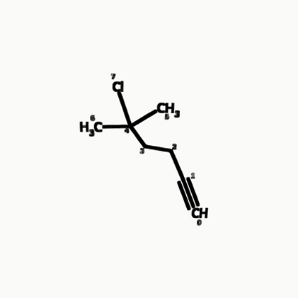 C#CCCC(C)(C)Cl